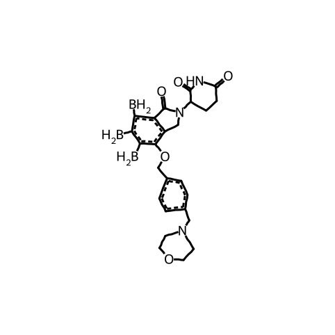 Bc1c(B)c(OCc2ccc(CN3CCOCC3)cc2)c2c(c1B)C(=O)N(C1CCC(=O)NC1=O)C2